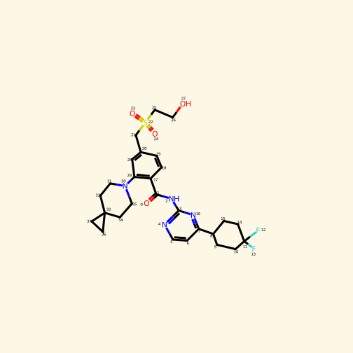 O=C(Nc1nccc(C2CCC(F)(F)CC2)n1)c1ccc(CS(=O)(=O)CCO)cc1N1CCC2(CC1)CC2